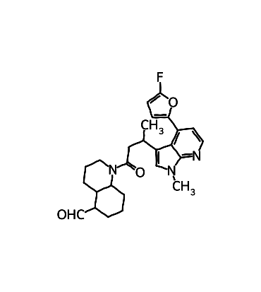 CC(CC(=O)N1CCCC2C(C=O)CCCC21)c1cn(C)c2nccc(-c3ccc(F)o3)c12